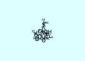 C=C1C[C@H]2C(O)N(C(=O)OCCSC(C)C)c3cc(OC(C)C)c(OC)cc3C(=O)N2C1